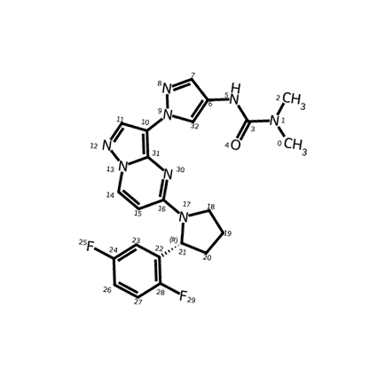 CN(C)C(=O)Nc1cnn(-c2cnn3ccc(N4CCC[C@@H]4c4cc(F)ccc4F)nc23)c1